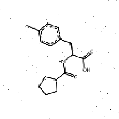 O=C(N[C@@H](Cc1ccc(Cl)cc1)C(=O)O)C1CCCC1